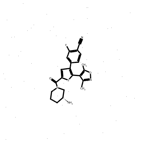 Cc1noc(C)c1-c1sc(C(=O)N2CCC[C@@H](N)C2)cc1-c1ccc(C#N)c(F)c1